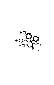 CC1N(C)CCN(CC(=O)O)C1(c1ccccc1)c1ccccc1.Cl.Cl